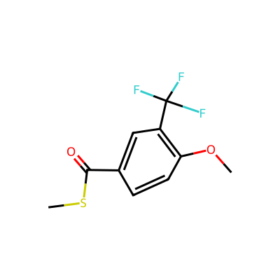 COc1ccc(C(=O)SC)cc1C(F)(F)F